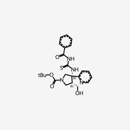 CC(C)(C)OC(=O)N1C[C@@H](CO)[C@](NC(=S)NC(=O)c2ccccc2)(c2ccccn2)C1